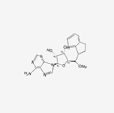 COC(C1CCc2ccccc21)[C@H]1O[C@@H](n2cnc3c(N)ncnc32)[C@H](O)[C@@H]1O